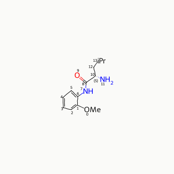 COc1ccccc1NC(=O)[C@@H](N)CC(C)C